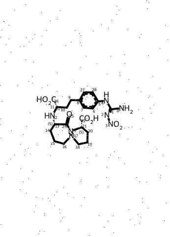 NC(=N[N+](=O)[O-])Nc1ccc(CC[C@H](N[C@H]2CCCN3CCC[C@@H](C(=O)O)N3C2=O)C(=O)O)cc1